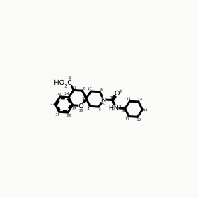 O=C(O)C1CC2(CCN(C(=O)NC3CCCCC3)CC2)Oc2ccccc21